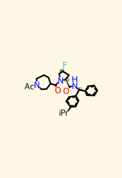 CC(=O)N1CCCC(C(=O)N2C[C@H](F)C[C@H]2C(=O)N[C@@H](c2ccccc2)c2ccc(C(C)C)cc2)CC1